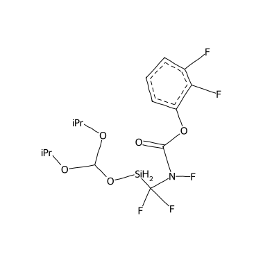 CC(C)OC(O[SiH2]C(F)(F)N(F)C(=O)Oc1cccc(F)c1F)OC(C)C